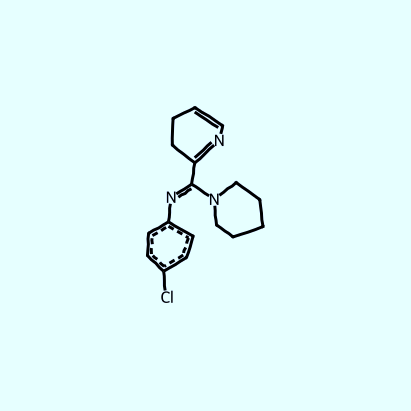 Clc1ccc(N=C(C2=NC=CCC2)N2CCCCC2)cc1